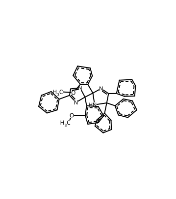 COc1ccccc1C1(C2(c3ccccc3OC)N=C(c3ccccc3)C(c3ccccc3)(c3ccccc3)N2)N=CC(c2ccccc2)=N1